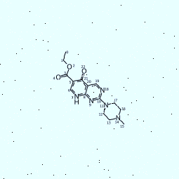 CCOC(=O)c1c[nH]c2nc(N3CCN(C)CC3)ncc2c1=O